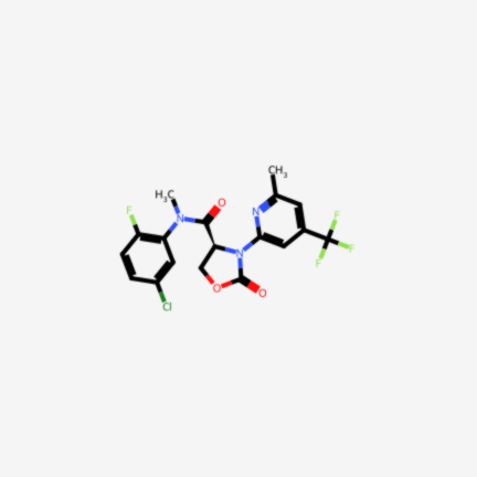 Cc1cc(C(F)(F)F)cc(N2C(=O)OC[C@H]2C(=O)N(C)c2cc(Cl)ccc2F)n1